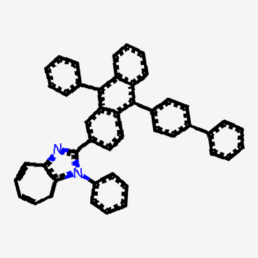 C1=CCc2c(nc(-c3ccc4c(-c5ccc(-c6ccccc6)cc5)c5ccccc5c(-c5ccccc5)c4c3)n2-c2ccccc2)C=C1